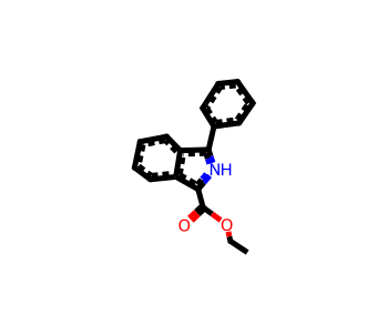 CCOC(=O)c1[nH]c(-c2ccccc2)c2ccccc12